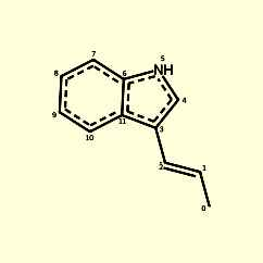 CC=[C]c1c[nH]c2ccccc12